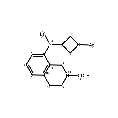 CC(=O)N1CC(N(C)c2cccc3c2CN(C(=O)O)CC3)C1